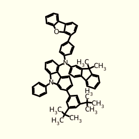 CC(C)(C)c1cc(-c2ccc3c4c(N(c5ccc(-c6cccc7c6oc6ccccc67)cc5)c5ccc6c(c5)C(C)(C)c5ccccc5-6)cccc4n(-c4ccccc4)c3c2)cc(C(C)(C)C)c1